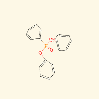 O=P(O)(Oc1ccccc1)c1ccccc1.c1ccccc1